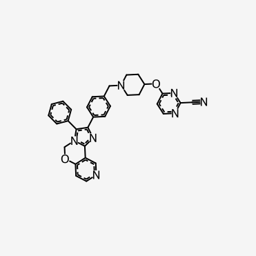 N#Cc1nccc(OC2CCN(Cc3ccc(-c4nc5n(c4-c4ccccc4)COc4ccncc4-5)cc3)CC2)n1